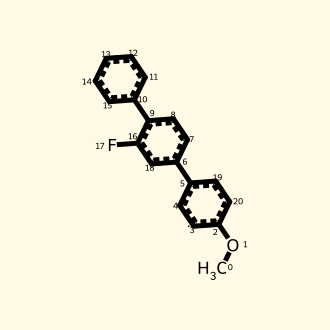 COc1[c]cc(-c2ccc(-c3ccccc3)c(F)c2)cc1